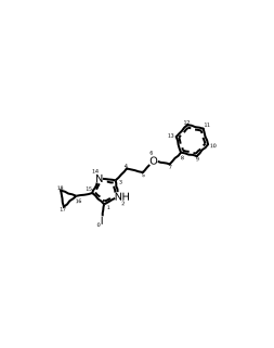 Ic1[nH]c(CCOCc2ccccc2)nc1C1CC1